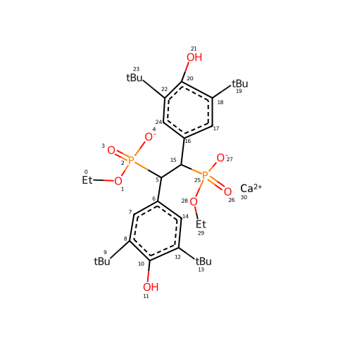 CCOP(=O)([O-])C(c1cc(C(C)(C)C)c(O)c(C(C)(C)C)c1)C(c1cc(C(C)(C)C)c(O)c(C(C)(C)C)c1)P(=O)([O-])OCC.[Ca+2]